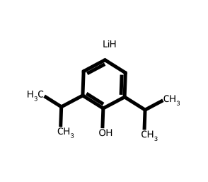 CC(C)c1cccc(C(C)C)c1O.[LiH]